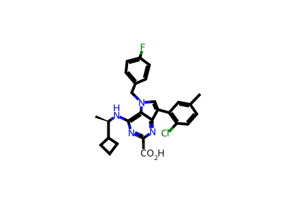 Cc1ccc(Cl)c(-c2cn(Cc3ccc(F)cc3)c3c(N[C@H](C)C4CCC4)nc(C(=O)O)nc23)c1